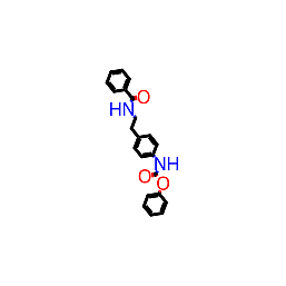 O=C(Nc1ccc(CCNC(=O)c2ccccc2)cc1)Oc1ccccc1